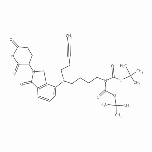 CC#CCCN(CCCCN(C(=O)OC(C)(C)C)C(=O)OC(C)(C)C)c1cccc2c1CN(C1CCC(=O)NC1=O)C2=O